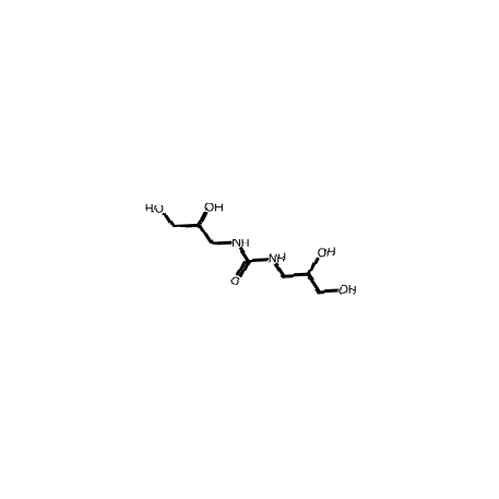 O=C(NCC(O)CO)NCC(O)CO